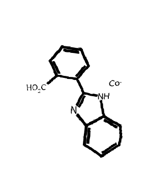 O=C(O)c1ccccc1-c1nc2ccccc2[nH]1.[Co]